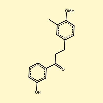 COc1ccc(CCC(=O)c2cccc(O)c2)cc1C